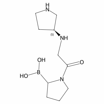 O=C(CN[C@H]1CCNC1)N1CCCC1B(O)O